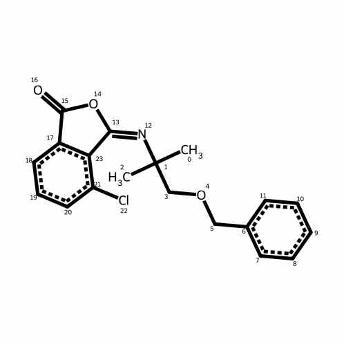 CC(C)(COCc1ccccc1)/N=C1/OC(=O)c2cccc(Cl)c21